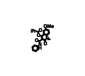 COc1ccc2c(c1)c(OC(=O)C(C)C)c(C(=O)Nc1ccccc1)c(=O)n2C